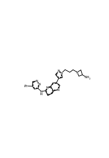 CC(C)c1cnnc(Nc2ccc3ncc(-c4cnn(CCCN5CC(N)C5)c4)cc3n2)c1